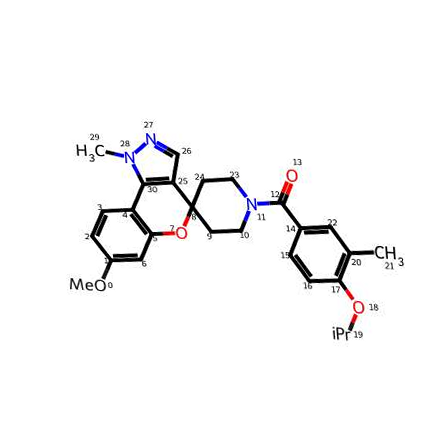 COc1ccc2c(c1)OC1(CCN(C(=O)c3ccc(OC(C)C)c(C)c3)CC1)c1cnn(C)c1-2